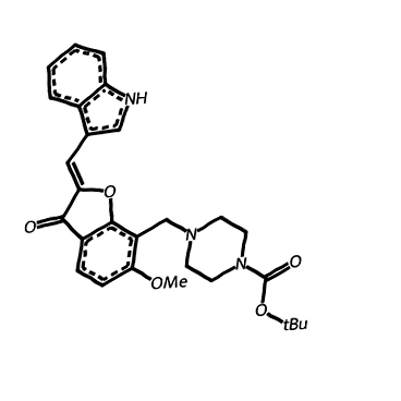 COc1ccc2c(c1CN1CCN(C(=O)OC(C)(C)C)CC1)O/C(=C\c1c[nH]c3ccccc13)C2=O